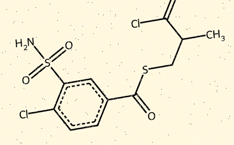 CC(CSC(=O)c1ccc(Cl)c(S(N)(=O)=O)c1)C(=O)Cl